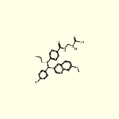 CCC[C@H](c1ccc(C(=O)NC[C@H](O)C(=O)O)cc1)C(c1ccc(Cl)cc1)c1ccc2cc(OC)ccc2c1